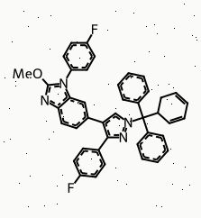 COc1nc2ccc(-c3cn(C(c4ccccc4)(c4ccccc4)C4C=CC=CC4)nc3-c3ccc(F)cc3)cc2n1-c1ccc(F)cc1